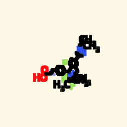 CC(C)Cn1cc(-c2ccc3c(c2)CC(C)N(CC(C)(C)F)C3c2c(F)cc(/C=C/C(=O)O)cc2F)cn1